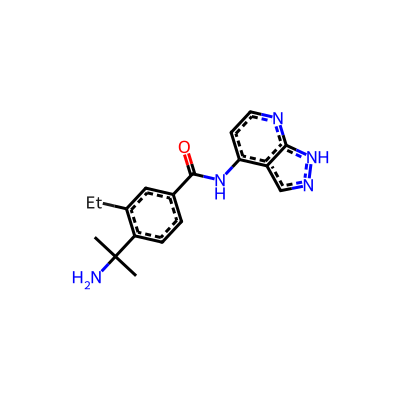 CCc1cc(C(=O)Nc2ccnc3[nH]ncc23)ccc1C(C)(C)N